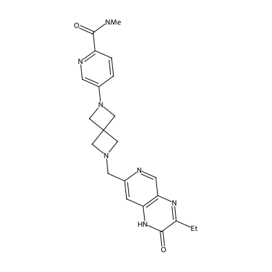 CCc1nc2cnc(CN3CC4(C3)CN(c3ccc(C(=O)NC)nc3)C4)cc2[nH]c1=O